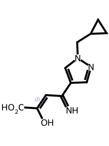 N=C(/C=C(\O)C(=O)O)c1cnn(CC2CC2)c1